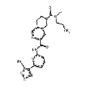 CC(C)n1nnnc1-c1cccc(NC(=O)c2cc3c(cn2)CCN(C(=O)N(C)CCC(F)(F)F)C3)n1